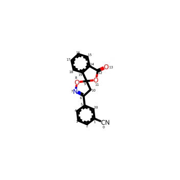 N#Cc1cccc(C2=NOC3(C2)OC(=O)c2ccccc23)c1